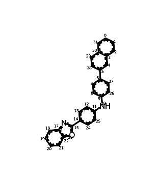 c1ccc2cc(-c3ccc(Nc4ccc(-c5nc6ccccc6o5)cc4)cc3)ccc2c1